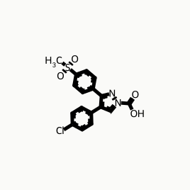 CS(=O)(=O)c1ccc(-c2nn(C(=O)O)[c]c2-c2ccc(Cl)cc2)cc1